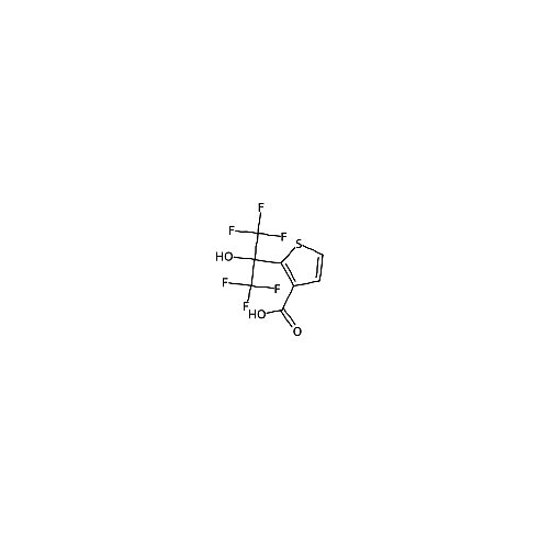 O=C(O)c1ccsc1C(O)(C(F)(F)F)C(F)(F)F